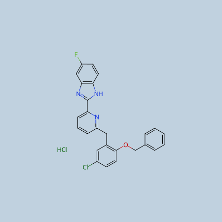 Cl.Fc1ccc2[nH]c(-c3cccc(Cc4cc(Cl)ccc4OCc4ccccc4)n3)nc2c1